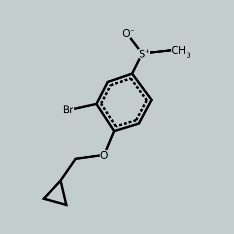 C[S+]([O-])c1ccc(OCC2CC2)c(Br)c1